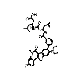 CCN(CC)c1cc2oc(-c3ccc(F)cc3)c(C(=O)NC)c2cc1-c1cccc(C(=O)N[C@H](CC(=O)N[C@H](CC(=O)O)CC(C)C)CC(C)C)c1